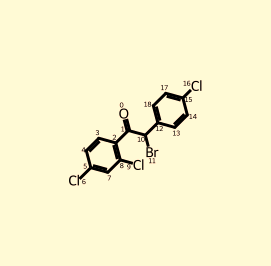 O=C(c1ccc(Cl)cc1Cl)C(Br)c1ccc(Cl)cc1